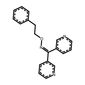 c1ccc(CCON=C(c2cccnc2)c2cccnc2)cc1